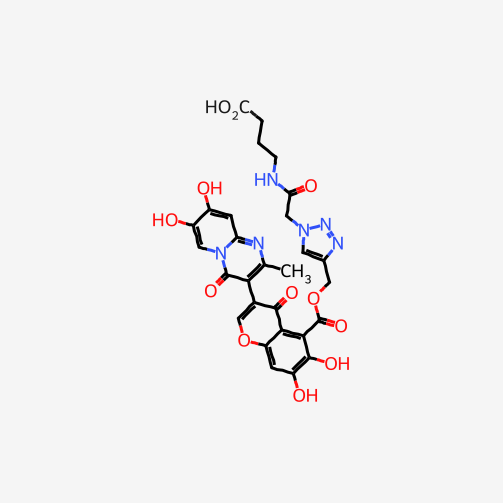 Cc1nc2cc(O)c(O)cn2c(=O)c1-c1coc2cc(O)c(O)c(C(=O)OCc3cn(CC(=O)NCCCC(=O)O)nn3)c2c1=O